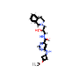 COC1CC(Nc2cc(C(=O)NCC(O)CN3CCc4ccccc4C3)ncn2)C1